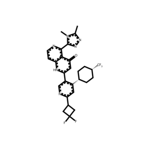 Cc1nnc(-c2nccc3[nH]c(-c4cnc(C5CC(F)(F)C5)cc4[C@H]4CC[C@@H](C(F)(F)F)CC4)cc(=O)c23)n1C